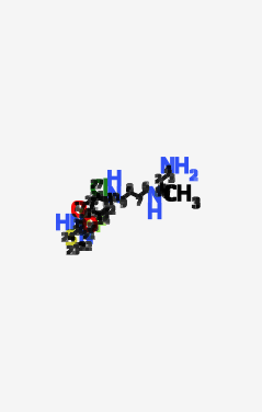 C[C@H](CCN)NCCCCNc1cc(F)c(S(=O)(=O)Nc2nccs2)cc1Cl